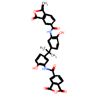 C=C1OC(=O)c2cc(C(=O)Nc3cc(C(C)(C)c4ccc(O)c(NC(=O)c5ccc6c(c5)C(=O)OC6=O)c4)ccc3O)ccc21